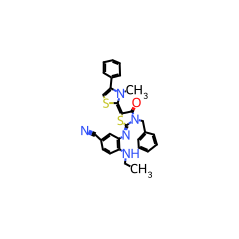 CCNc1ccc(C#N)cc1N=C1SC(=C2SC=C(c3ccccc3)N2C)C(=O)N1Cc1ccccc1